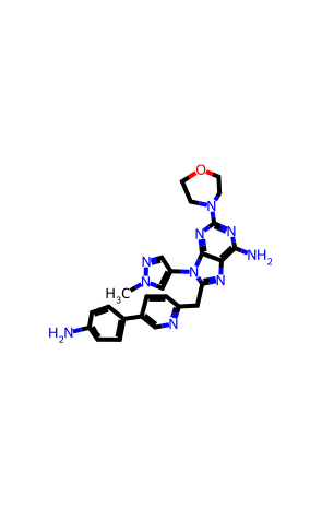 Cn1cc(-n2c(Cc3ccc(-c4ccc(N)cc4)cn3)nc3c(N)nc(N4CCOCC4)nc32)cn1